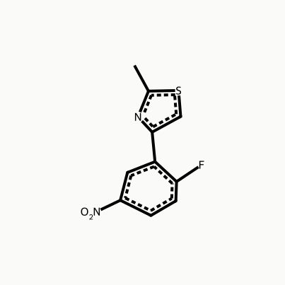 Cc1nc(-c2cc([N+](=O)[O-])ccc2F)cs1